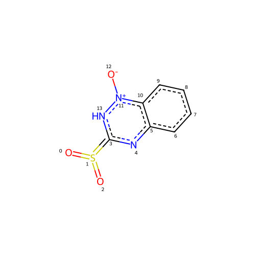 O=S(=O)=c1nc2ccccc2[n+]([O-])[nH]1